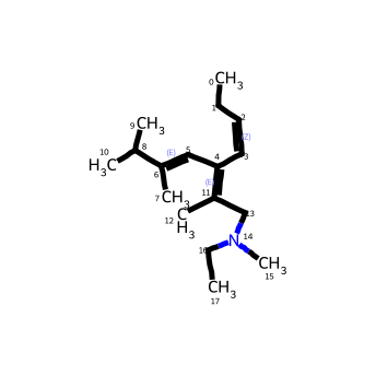 CC\C=C/C(/C=C(\C)C(C)C)=C(/C)CN(C)CC